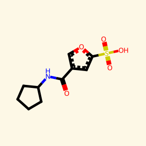 O=C(NC1CCCC1)c1coc(S(=O)(=O)O)c1